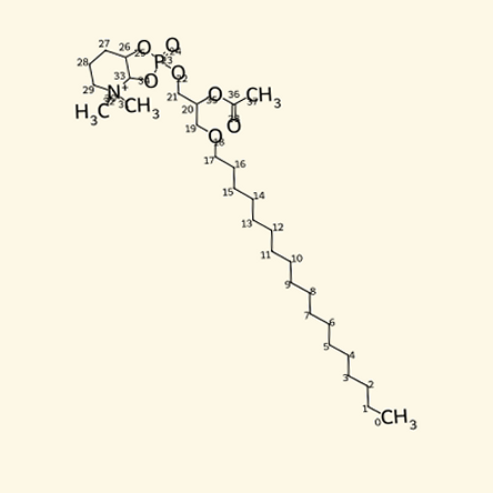 CCCCCCCCCCCCCCCCCCOCC(COP1(=O)OC2CCC[N+](C)(C)C2O1)OC(C)=O